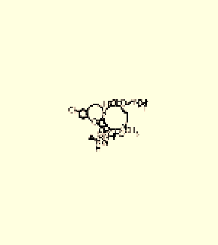 CN1CC/C=C/[C@H](OCCN2CC(F)(F)C2)[C@@H]2CC[C@H]2CN2CCCCc3cc(Cl)ccc3COc3ccc(cc32)[C@@](O)(C(=O)NS(=O)(=O)NC2CC2)CC1=O